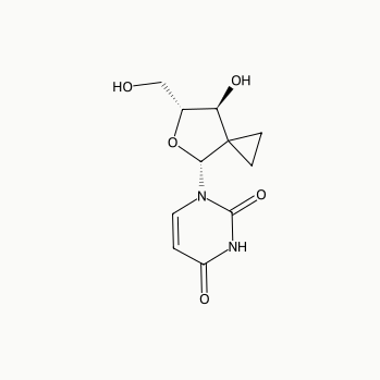 O=c1ccn([C@@H]2O[C@H](CO)[C@@H](O)C23CC3)c(=O)[nH]1